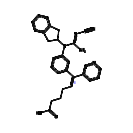 N#CN=C(N)N(c1cccc(/C(=C\CCCC(=O)O)c2cccnc2)c1)C1Cc2ccccc2C1